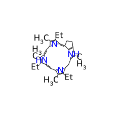 CCC1=C(C)C2=NC/1=C1/CCc3c1[nH]c(c3C)CC1N=C(/C=c3\[nH]/c(c(C)c3CC)=C\2)C(C)=C1CC